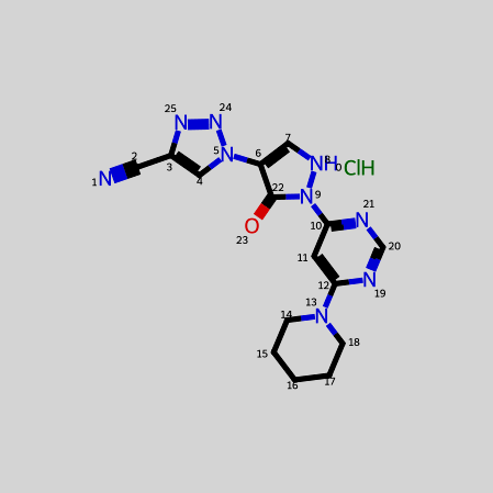 Cl.N#Cc1cn(-c2c[nH]n(-c3cc(N4CCCCC4)ncn3)c2=O)nn1